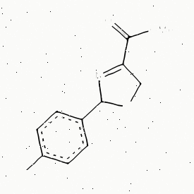 COC(=O)C1=NC(c2ccc(F)cc2)OC1